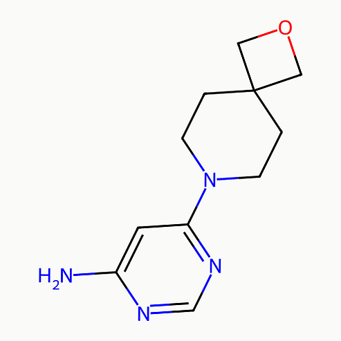 Nc1cc(N2CCC3(CC2)COC3)ncn1